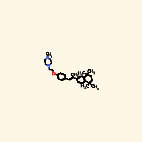 CC(=Cc1ccc(OCCN2CCN(C)CC2)cc1)c1ccc2c(c1)C(C)(C)CCC2(C)C